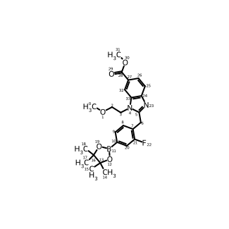 COCCn1c(Cc2ccc(B3OC(C)(C)C(C)(C)O3)cc2F)nc2ccc(C(=O)OC)cc21